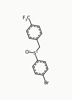 [O-][S+](Cc1ccc(C(F)(F)F)cc1)c1ccc(Br)cc1